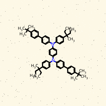 CCC(C)(CC)c1ccc(N(c2ccc(-c3ccc(C(C)(C)C)cc3)cc2)c2ccc(N(c3ccc(-c4ccc(C(C)(C)C)cc4)cc3)c3ccc(C(C)(CC)CC)cc3)cc2)cc1